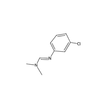 CN(C)C=Nc1cccc(Cl)c1